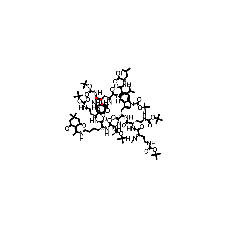 CC(NCCCC[C@H](NC(=O)[C@H](NC(=O)[C@H](Cc1cn(C(=O)OC(C)(C)C)c2ccccc12)NC(=O)[C@H](CCNC(=O)OC(C)(C)C)NC(=O)[C@@H](N)CCNC(=O)OC(C)(C)C)[C@H](C)OC(C)(C)C)C(=O)N[C@@H](CCNC(=O)OC(C)(C)C)C(=O)N[C@@H](CCNC(=O)OC(C)(C)C)C(=O)N[C@@H](Cc1c[nH]c2ccccc12)C(=O)N[C@H](CC(C)C)C(=O)N[C@H](CC(C)C)C(=O)O)=C1C(=O)CC(C)(C)CC1=O